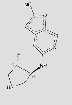 N#Cc1cc2cc(N[C@H]3CNC[C@@H]3F)ncc2o1